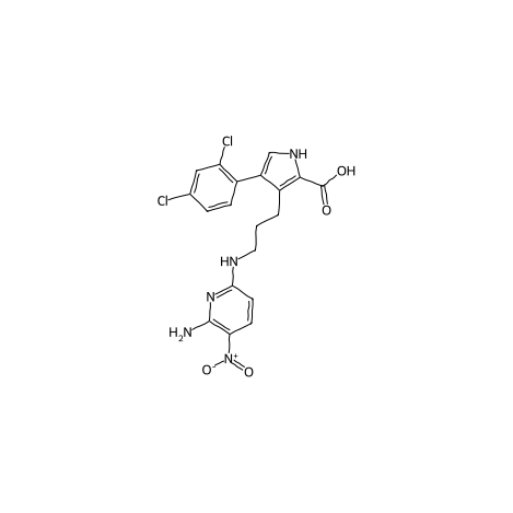 Nc1nc(NCCCc2c(-c3ccc(Cl)cc3Cl)c[nH]c2C(=O)O)ccc1[N+](=O)[O-]